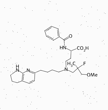 COCC(C)(F)CN(CCCCc1ccc2c(n1)NCCC2)CCC(NC(=O)c1ccccc1)C(=O)O